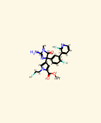 CC(C)OC(=O)c1cc(C2(c3ccc(F)c(-c4cccnc4F)c3)N=C(N)N(C)C2=O)cn1CCF